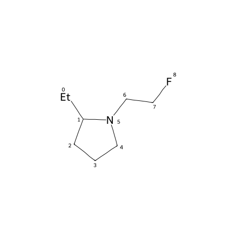 CCC1CCCN1CCF